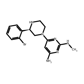 CNc1nc(N)cc(N2CCN[C@H](c3ccccc3Br)C2)n1